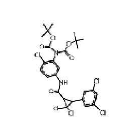 CC(C)(C)OC(=O)N(C(=O)OC(C)(C)C)c1cc(NC(=O)C2C(c3cc(Cl)cc(Cl)c3)C2(Cl)Cl)ccc1Cl